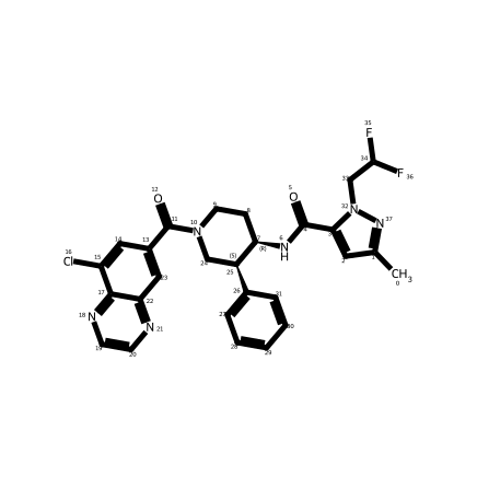 Cc1cc(C(=O)N[C@@H]2CCN(C(=O)c3cc(Cl)c4nccnc4c3)C[C@@H]2c2ccccc2)n(CC(F)F)n1